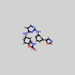 Cc1cnc(Nc2cccc(-c3cnco3)c2)nc1Nc1ccc2oc(=O)[nH]c2c1